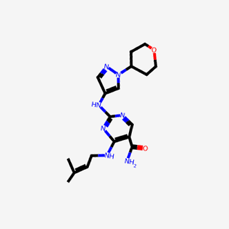 CC(C)=CCNc1nc(Nc2cnn(C3CCOCC3)c2)ncc1C(N)=O